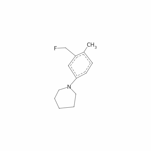 Cc1ccc(N2CCCCC2)cc1CF